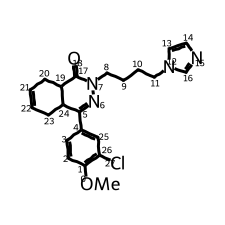 COc1ccc(C2=NN(CCCCn3ccnc3)C(=O)C3CC=CCC23)cc1Cl